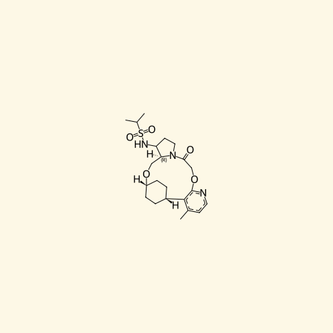 Cc1ccnc2c1[C@H]1CC[C@H](CC1)OC[C@H]1C(NS(=O)(=O)C(C)C)CCN1C(=O)CO2